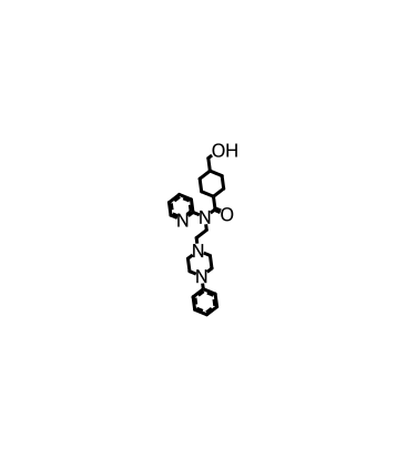 O=C(C1CCC(CO)CC1)N(CCN1CCN(c2ccccc2)CC1)c1ccccn1